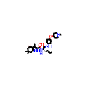 CCCC[C@H](NC(=O)c1[nH]c2c(c1C)C(=O)CC(C)(C)C2)C(=O)Nc1ccc(OC2CCN(C)CC2)cc1